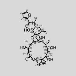 CC[C@H]1OC(=O)[C@H](C)[C@@H](O)[C@H](C)[C@@H](O[C@@H]2O[C@H](C)C[C@H](N(C)C(=O)c3ccco3)[C@H]2O)C(C)(O)C[C@@H](C)[C@H](O)[C@H](C)[C@@H](O)[C@]1(C)O